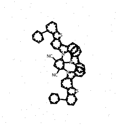 N#Cc1cc(C#N)c(-n2c3ccccc3c3c4sc5cccc(-c6ccccc6)c5c4ccc32)c(-n2c3ccccc3c3ccccc32)c1-n1c2ccccc2c2c3sc4cccc(-c5ccccc5)c4c3ccc21